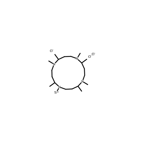 CC1CCN(C)C(C)CC[N]([Ti+3])C(C)CCN(C)C(C)CCN1C.[Cl-].[Cl-].[Cl-]